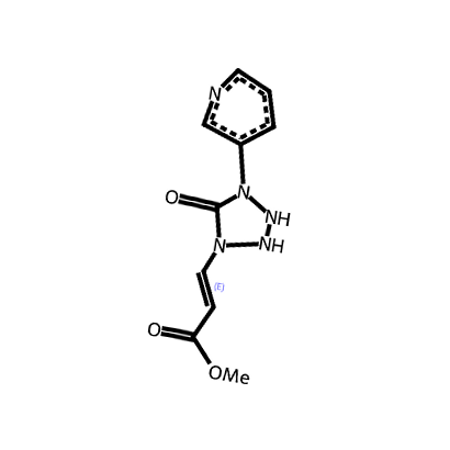 COC(=O)/C=C/N1NNN(c2cccnc2)C1=O